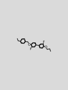 CCCOc1ccc(-c2ccc(OCc3ccc(CC)cc3)c(F)c2)cc1F